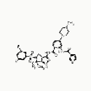 CN1CCN(c2ccc(C(=O)Nc3n[nH]c4c3CN(S(=O)(=O)c3cc(F)cc(F)c3)C4(C)C)c(NC(=O)c3ccsc3)c2)CC1